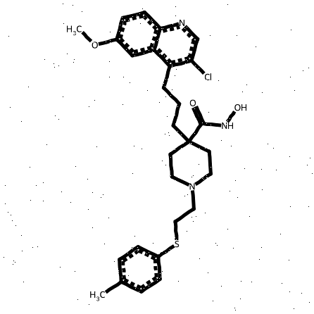 COc1ccc2ncc(Cl)c(CCCC3(C(=O)NO)CCN(CCSc4ccc(C)cc4)CC3)c2c1